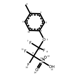 Cc1ccc(OC(F)(F)C(F)(F)S(=O)(=O)O)cc1